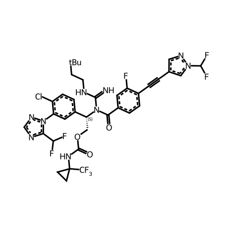 CC(C)(C)CCNC(=N)N(C(=O)c1ccc(C#Cc2cnn(C(F)F)c2)c(F)c1)[C@H](COC(=O)NC1(C(F)(F)F)CC1)c1ccc(Cl)c(-n2ncnc2C(F)F)c1